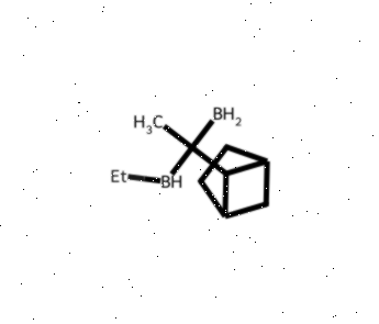 BC(C)(BCC)C1C2CCC1C2